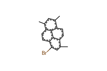 Cc1cc(C)c2ccc3c(Br)cc(C)c4ccc1c2c43